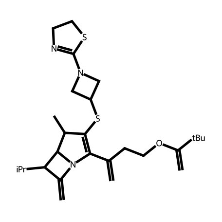 C=C(CCOC(=C)C(C)(C)C)C1=C(SC2CN(C3=NCCS3)C2)C(C)C2C(C(C)C)C(=C)N12